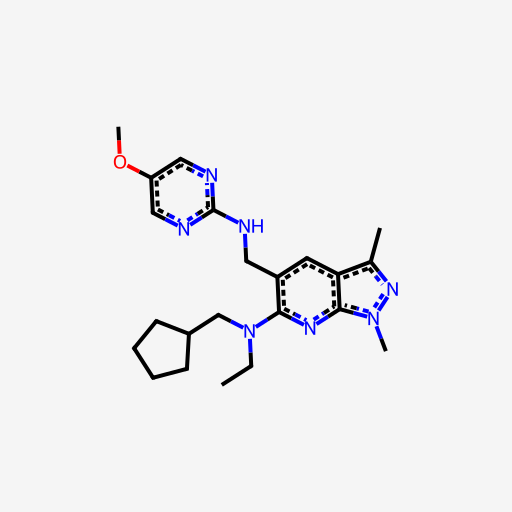 CCN(CC1CCCC1)c1nc2c(cc1CNc1ncc(OC)cn1)c(C)nn2C